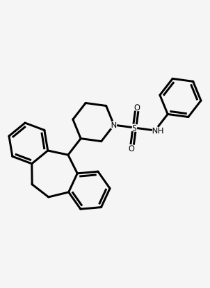 O=S(=O)(Nc1ccccc1)N1CCCC(C2c3ccccc3CCc3ccccc32)C1